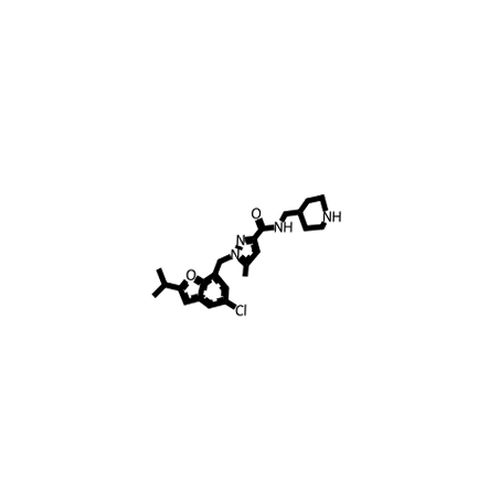 Cc1cc(C(=O)NCC2CCNCC2)nn1Cc1cc(Cl)cc2cc(C(C)C)oc12